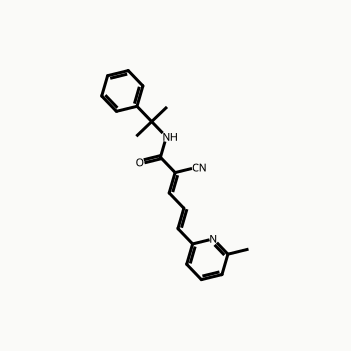 Cc1cccc(/C=C/C=C(\C#N)C(=O)NC(C)(C)c2ccccc2)n1